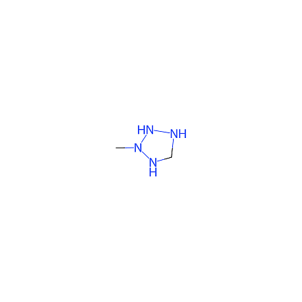 CN1NCNN1